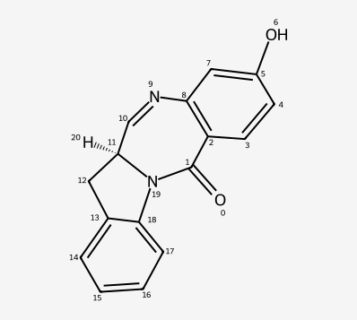 O=C1c2ccc(O)cc2N=C[C@@H]2Cc3ccccc3N12